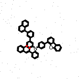 c1cc(-c2cccc(N(c3ccc(-c4cccc5c4oc4ccccc45)cc3)c3ccccc3-c3ccc4ccccc4c3)c2)cc(-c2cccc3ccccc23)c1